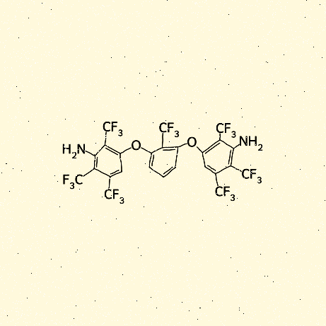 Nc1c(C(F)(F)F)c(Oc2cccc(Oc3cc(C(F)(F)F)c(C(F)(F)F)c(N)c3C(F)(F)F)c2C(F)(F)F)cc(C(F)(F)F)c1C(F)(F)F